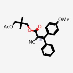 COc1ccc(/C(=C(/C#N)C(=O)OCC(C)(C)COC(C)=O)c2ccccc2)cc1